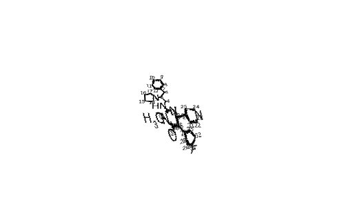 Cn1c(NC[C@H](Cc2ccccc2)N2CCCC2)nc(-c2ccncc2)c(-c2ccc(F)cc2)c1=O